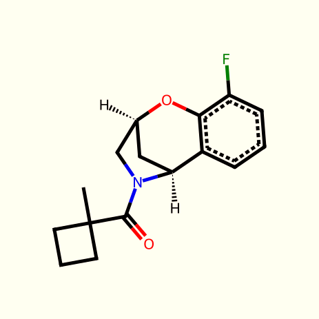 CC1(C(=O)N2C[C@@H]3C[C@H]2c2cccc(F)c2O3)CCC1